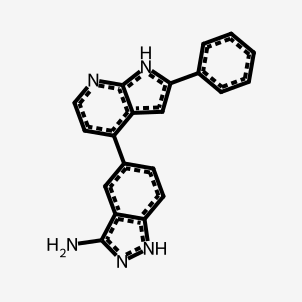 Nc1n[nH]c2ccc(-c3ccnc4[nH]c(-c5ccccc5)cc34)cc12